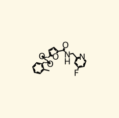 Cc1ccccc1S(=O)(=O)c1ccc(C(=O)NCc2cc(F)ccn2)o1